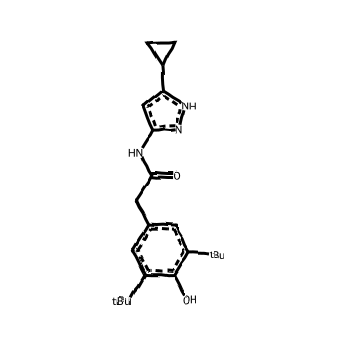 CC(C)(C)c1cc(CC(=O)Nc2cc(C3CC3)[nH]n2)cc(C(C)(C)C)c1O